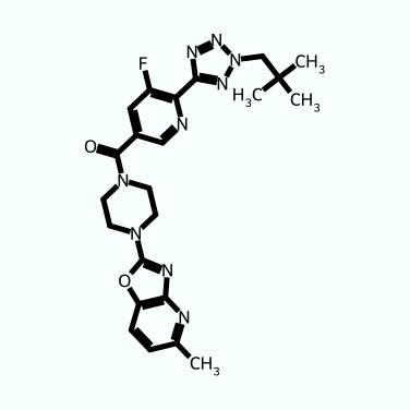 Cc1ccc2oc(N3CCN(C(=O)c4cnc(-c5nnn(CC(C)(C)C)n5)c(F)c4)CC3)nc2n1